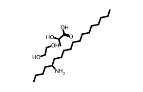 CC(O)C(=O)O.CCCCCCCCCCCCCC(N)CCCC.OCCO